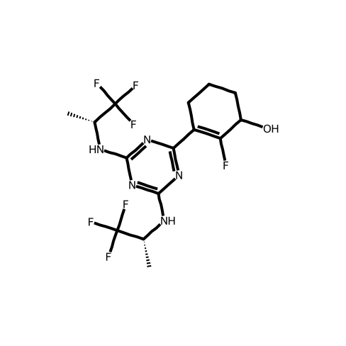 C[C@@H](Nc1nc(N[C@H](C)C(F)(F)F)nc(C2=C(F)C(O)CCC2)n1)C(F)(F)F